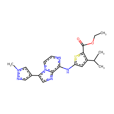 CCOC(=O)c1sc(Nc2nccn3c(-c4cnn(C)c4)cnc23)cc1C(C)C